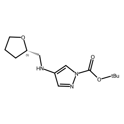 CC(C)(C)OC(=O)n1cc(NC[C@@H]2CCCO2)cn1